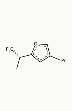 CC(C)c1coc([C@H](C)C(F)(F)F)c1